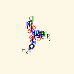 CC(C(=O)N(C)C)[C@H](CNC(=O)C(=O)Nc1ccc(Cl)cn1)NC(=O)c1nc2c(s1)CN(C)CC2.Cl